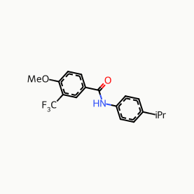 COc1ccc(C(=O)Nc2ccc(C(C)C)cc2)cc1C(F)(F)F